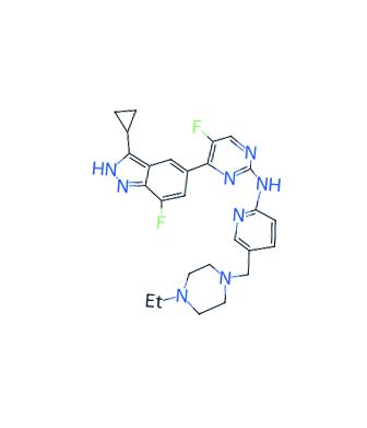 CCN1CCN(Cc2ccc(Nc3ncc(F)c(-c4cc(F)c5n[nH]c(C6CC6)c5c4)n3)nc2)CC1